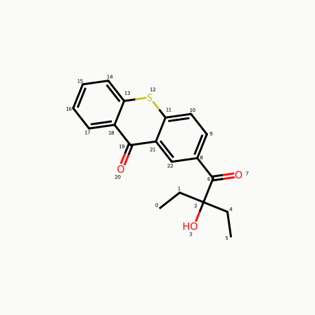 CCC(O)(CC)C(=O)c1ccc2sc3ccccc3c(=O)c2c1